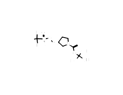 CC(C)(C)OC(=O)N1CC[C@@H](COS(=O)(=O)C(F)(F)F)C1